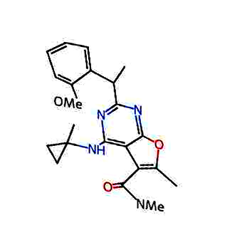 CNC(=O)c1c(C)oc2nc(C(C)c3ccccc3OC)nc(NC3(C)CC3)c12